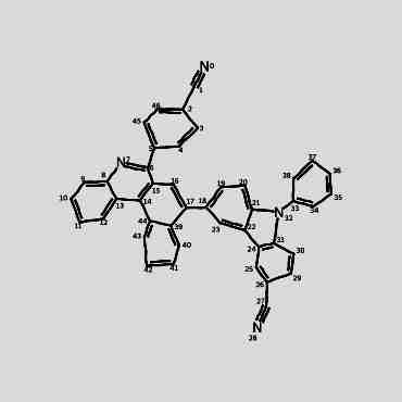 N#Cc1ccc(-c2nc3ccccc3c3c2cc(-c2ccc4c(c2)c2cc(C#N)ccc2n4-c2ccccc2)c2ccccc23)cc1